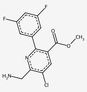 COC(=O)c1cc(Cl)c(CN)nc1-c1cc(F)cc(F)c1